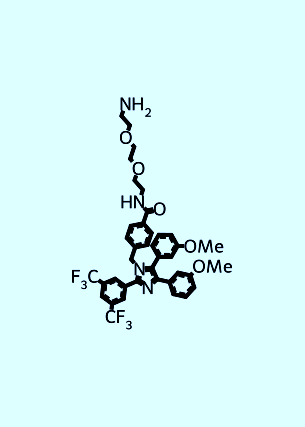 COc1cccc(-c2nc(-c3cc(C(F)(F)F)cc(C(F)(F)F)c3)n(Cc3ccc(C(=O)NCCOCCOCCN)cc3)c2-c2cccc(OC)c2)c1